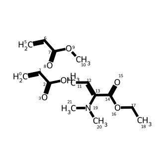 C=CC(=O)O.C=CC(=O)OC.CC=C(C(=O)OCC)N(C)C